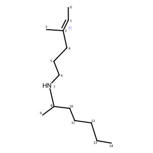 C/C=C(\C)CCCNC(C)CCCCC